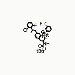 C/C(=C\c1ccc2c(c1)N(S(=O)(=O)c1cccc(C(F)(F)F)c1)[C@H](C)[C@H](NC(=O)OC(C)(C)C)C2)c1c(F)cccc1Cl